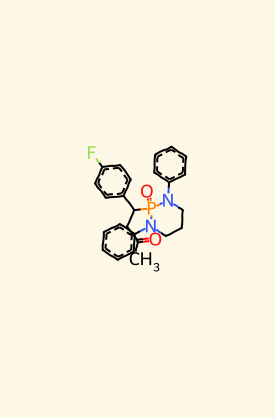 CC(=O)CC(c1ccc(F)cc1)P1(=O)N(c2ccccc2)CCCN1c1ccccc1